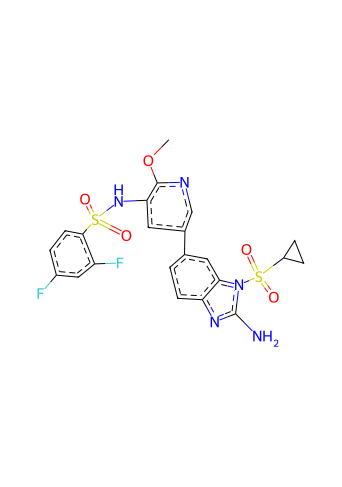 COc1ncc(-c2ccc3nc(N)n(S(=O)(=O)C4CC4)c3c2)cc1NS(=O)(=O)c1ccc(F)cc1F